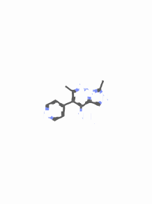 Cc1nn2c(C)ncc2c(N)c1-c1ccncc1